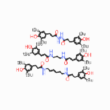 CC(C)(C)c1cc(CCC(=O)NCCCCCCNC(=O)CCc2cc(C(C)(C)C)c(O)c(C(C)(C)C)c2)cc(C(C)(C)C)c1O.CC(C)(C)c1cc(CCC(=O)NCCCNC(=O)CCc2cc(C(C)(C)C)c(O)c(C(C)(C)C)c2)cc(C(C)(C)C)c1O.CC(C)(C)c1cc(CCC(=O)NNC(=O)CCc2cc(C(C)(C)C)c(O)c(C(C)(C)C)c2)cc(C(C)(C)C)c1O